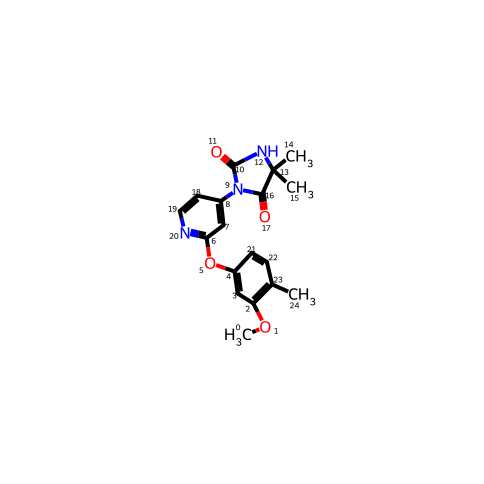 COc1cc(Oc2cc(N3C(=O)NC(C)(C)C3=O)ccn2)ccc1C